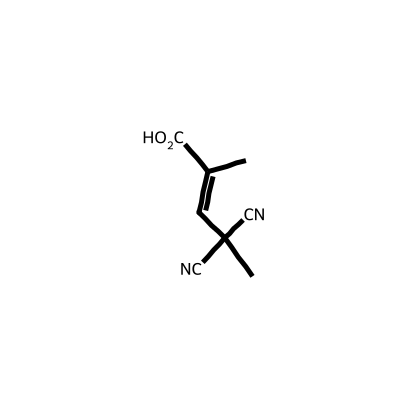 CC(=CC(C)(C#N)C#N)C(=O)O